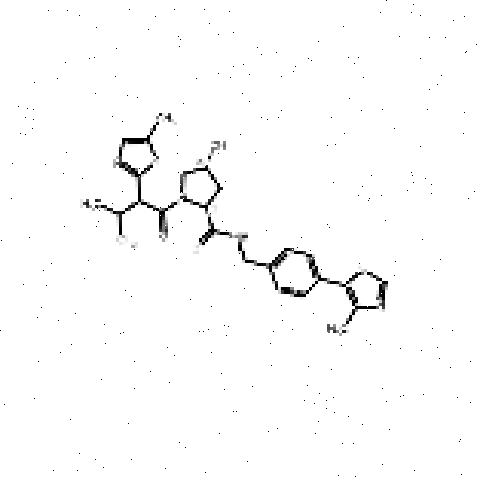 Cc1cnc(C(C(=O)N2C[C@H](O)C[C@H]2C(=O)NCc2ccc(-c3scnc3C)cc2)C(C)C)s1